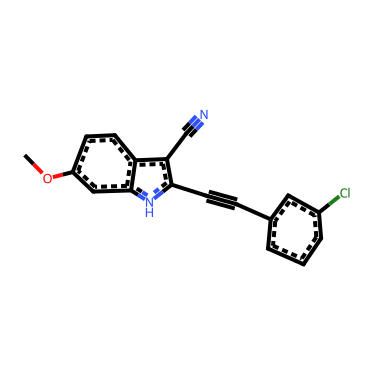 COc1ccc2c(C#N)c(C#Cc3cccc(Cl)c3)[nH]c2c1